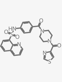 O=C(c1ccc(NS(=O)(=O)c2cccc3cccnc23)cc1)N1CCN(C(=O)c2cscn2)CC1